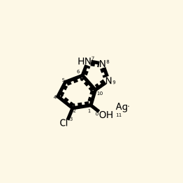 Oc1c(Cl)ccc2[nH]nnc12.[Ag]